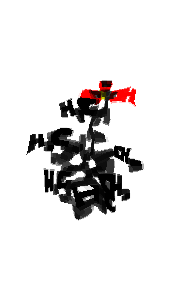 CC(=CCCC(C)=CC(O)=S(=O)=O)C=C(C1=C(C)CCCC1(C)C)c1ccc(C)cc1